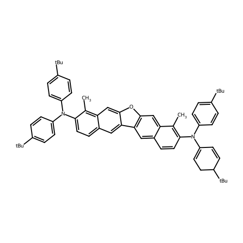 Cc1c(N(C2=CCC(C(C)(C)C)C=C2)c2ccc(C(C)(C)C)cc2)ccc2cc3c(cc12)oc1cc2c(C)c(N(c4ccc(C(C)(C)C)cc4)c4ccc(C(C)(C)C)cc4)ccc2cc13